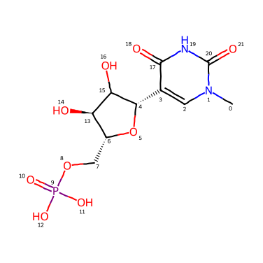 Cn1cc([C@@H]2O[C@H](COP(=O)(O)O)[C@@H](O)C2O)c(=O)[nH]c1=O